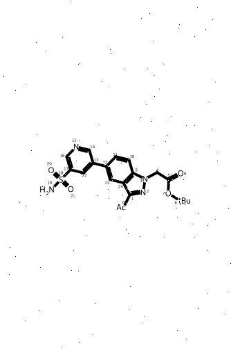 CC(=O)c1nn(CC(=O)OC(C)(C)C)c2ccc(-c3cncc(S(N)(=O)=O)c3)cc12